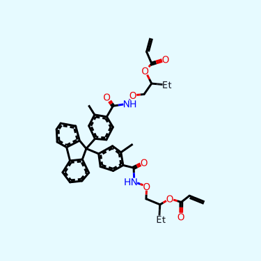 C=CC(=O)OC(CC)CONC(=O)c1ccc(C2(c3ccc(C(=O)NOCC(CC)OC(=O)C=C)c(C)c3)c3ccccc3-c3ccccc32)cc1C